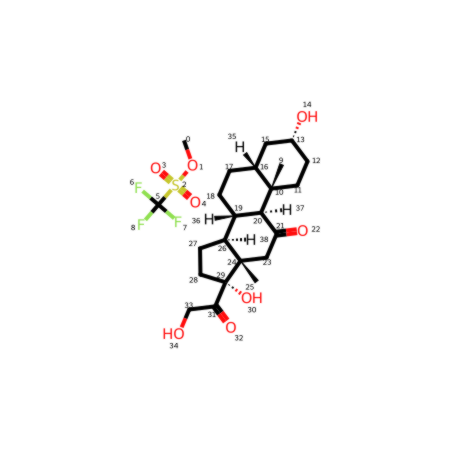 COS(=O)(=O)C(F)(F)F.C[C@]12CC[C@@H](O)C[C@H]1CC[C@@H]1[C@@H]2C(=O)C[C@@]2(C)[C@H]1CC[C@]2(O)C(=O)CO